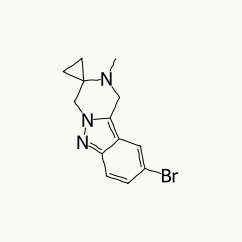 CN1Cc2c3cc(Br)ccc3nn2CC12CC2